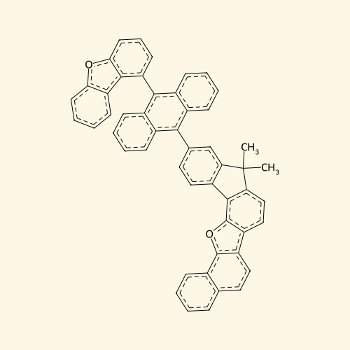 CC1(C)c2cc(-c3c4ccccc4c(-c4cccc5oc6ccccc6c45)c4ccccc34)ccc2-c2c1ccc1c2oc2c3ccccc3ccc12